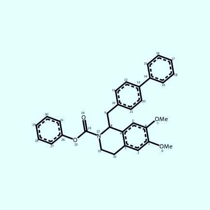 COc1cc2c(cc1OC)C(Cc1ccc(-c3ccccc3)cc1)N(C(=O)Oc1ccccc1)CC2